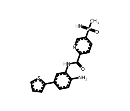 CS(=N)(=O)c1ccc(C(=O)Nc2cc(-c3cccs3)ccc2N)nc1